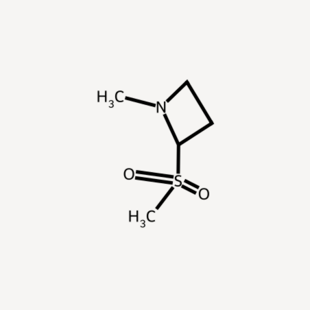 CN1CCC1S(C)(=O)=O